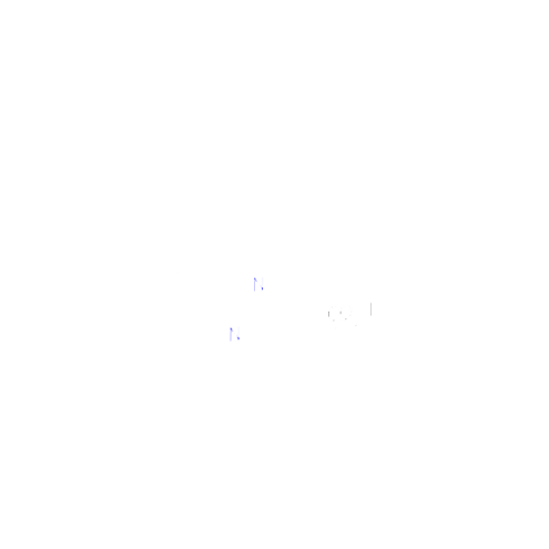 Cc1ccnn1CC(=O)O